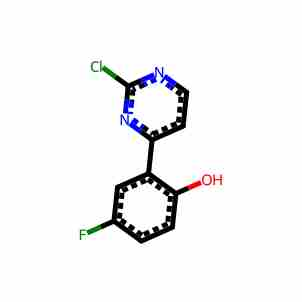 Oc1ccc(F)cc1-c1ccnc(Cl)n1